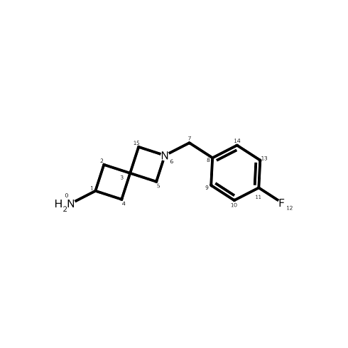 NC1CC2(C1)CN(Cc1ccc(F)cc1)C2